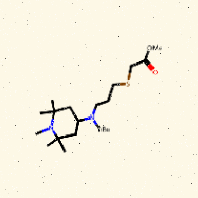 CCCCN(CCCSCC(=O)OC)C1CC(C)(C)N(C)C(C)(C)C1